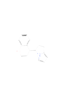 c1ccc2c(c1)OCCC2C1CCc2cccn21